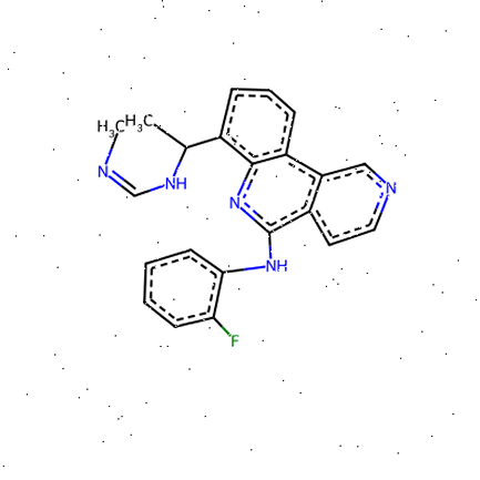 C/N=C\NC(C)c1cccc2c1nc(Nc1ccccc1F)c1ccncc12